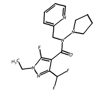 CCn1nc(C(F)F)c(C(=O)N(Cc2ccccn2)N2CCCC2)c1F